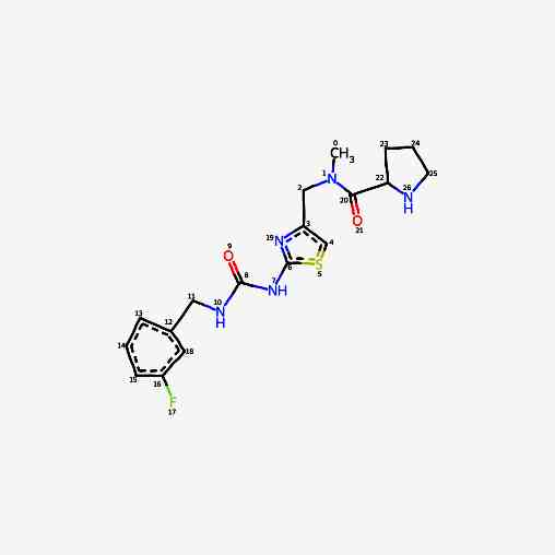 CN(Cc1csc(NC(=O)NCc2cccc(F)c2)n1)C(=O)C1CCCN1